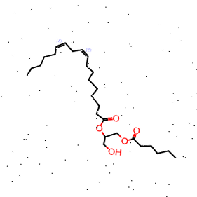 CCCCC/C=C\C/C=C\CCCCCCCC(=O)OC(CO)COC(=O)CCCCC